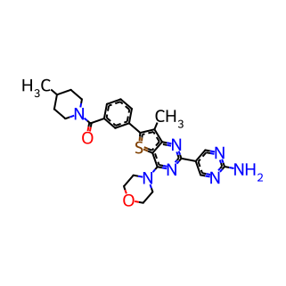 Cc1c(-c2cccc(C(=O)N3CCC(C)CC3)c2)sc2c(N3CCOCC3)nc(-c3cnc(N)nc3)nc12